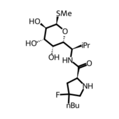 CCCCC1(F)CN[C@H](C(=O)N[C@H](C(C)C)[C@H]2O[C@H](SC)[C@H](O)[C@@H](O)[C@H]2O)C1